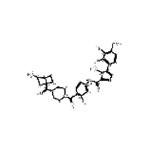 COc1ccc(-c2cnc(C(=O)Nc3ccc(C(=O)N4CCN(C(=O)C56CCC5C(N)C6)CC4)c(Cl)c3)n2C)c(F)c1F